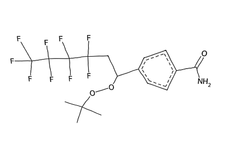 CC(C)(C)OOC(CC(F)(F)C(F)(F)C(F)(F)C(F)(F)F)c1ccc(C(N)=O)cc1